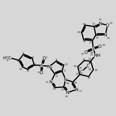 Cc1ccc(S(=O)(=O)n2ccc3c2ncc2nnc(C45CCC(NS(=O)(=O)c6cccc7nonc67)(CC4)CC5)n23)cc1